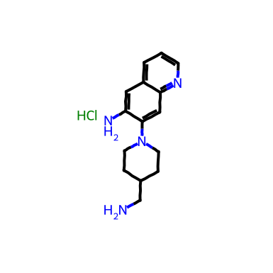 Cl.NCC1CCN(c2cc3ncccc3cc2N)CC1